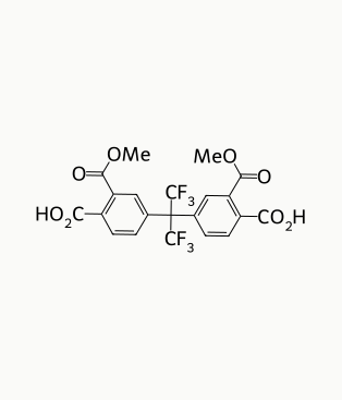 COC(=O)c1cc(C(c2ccc(C(=O)O)c(C(=O)OC)c2)(C(F)(F)F)C(F)(F)F)ccc1C(=O)O